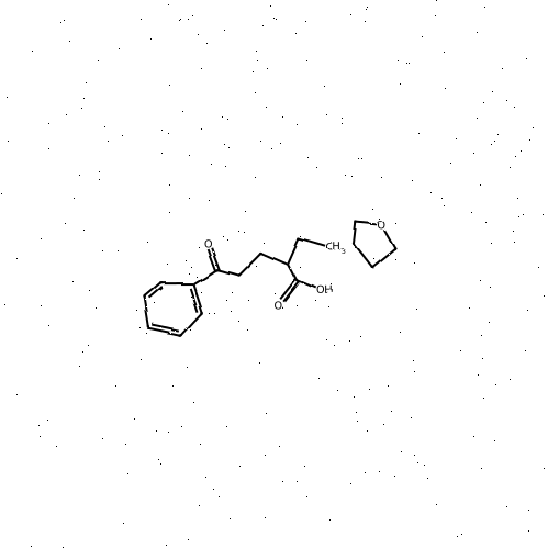 C1CCOC1.CCC(CCC(=O)c1ccccc1)C(=O)O